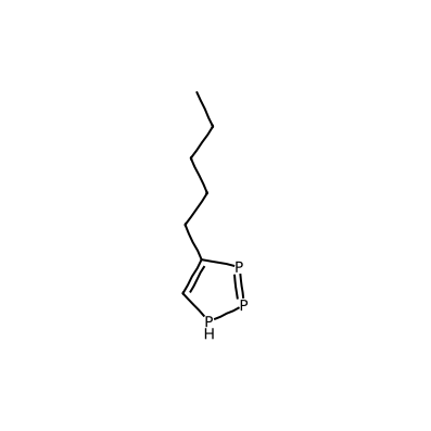 CCCCCc1c[pH]pp1